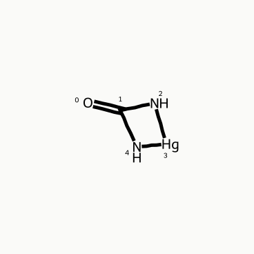 O=C1[NH][Hg][NH]1